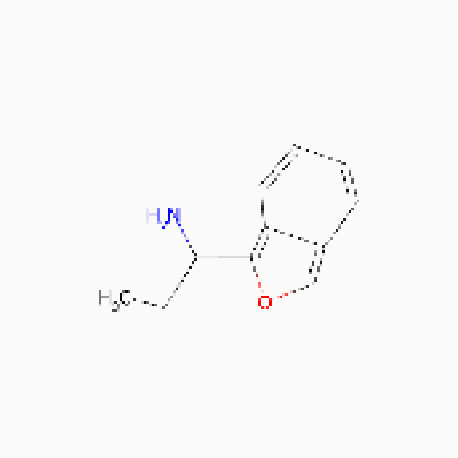 CCC(N)c1occ2ccccc12